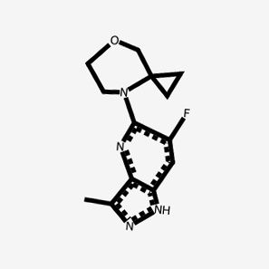 Cc1n[nH]c2cc(F)c(N3CCOCC34CC4)nc12